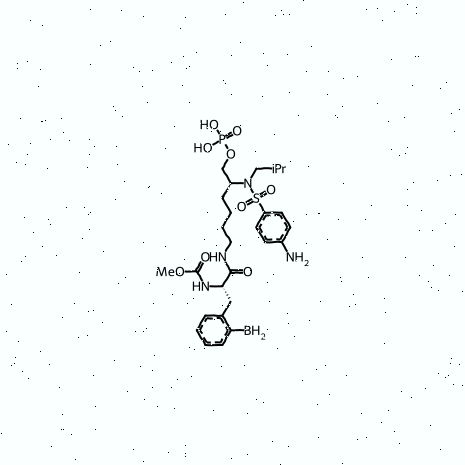 Bc1ccccc1C[C@H](NC(=O)OC)C(=O)NCCCC[C@@H](COP(=O)(O)O)N(CC(C)C)S(=O)(=O)c1ccc(N)cc1